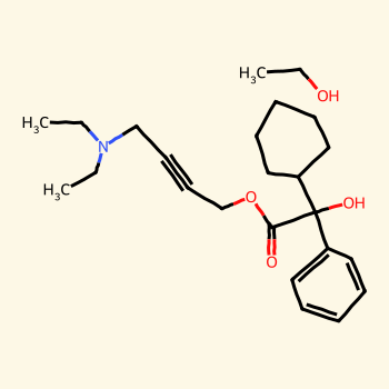 CCN(CC)CC#CCOC(=O)C(O)(c1ccccc1)C1CCCCC1.CCO